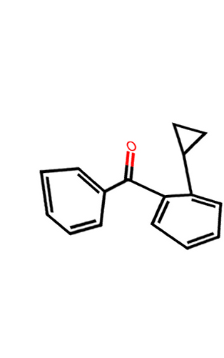 O=C(c1ccccc1)c1ccccc1C1CC1